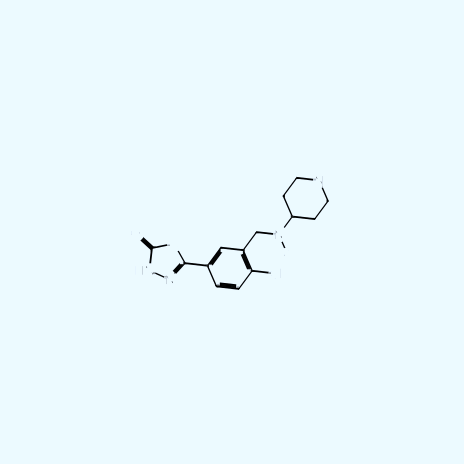 CN(Cc1cc(-c2n[nH]c(=O)o2)ccc1Cl)C1CCNCC1